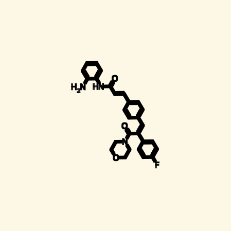 Nc1ccccc1NC(=O)C=Cc1ccc(C=C(C(=O)N2CCOCC2)c2ccc(F)cc2)cc1